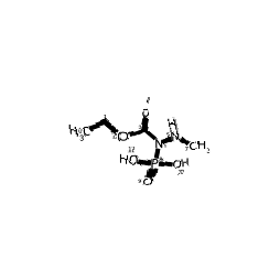 CCOC(=O)N(NC)P(=O)(O)O